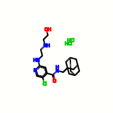 Cl.Cl.O=C(NCC12CC3CC(CC(C3)C1)C2)c1cc(NCCNCCO)ncc1Cl